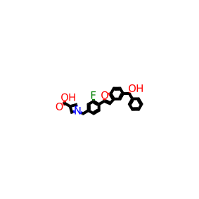 O=C(O)C1CN(Cc2ccc(-c3cc4cc(C(O)c5ccccc5)ccc4o3)c(F)c2)C1